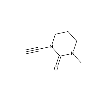 C#CN1CCCN(C)C1=O